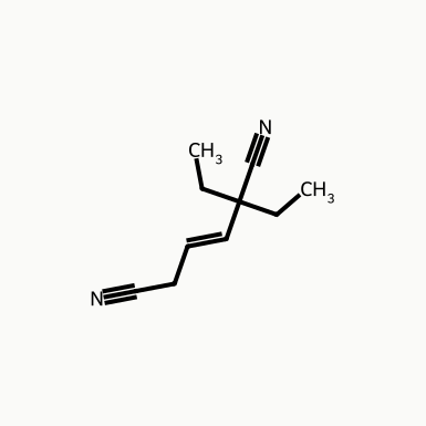 CCC(C#N)(C=CCC#N)CC